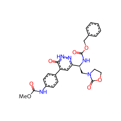 COC(=O)Nc1ccc(-c2cc([C@H](CN3CCOC3=O)NC(=O)OCc3ccccc3)n[nH]c2=O)cc1